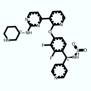 O=[SH](=O)N[C@@H](c1ccncc1)c1ccc(Oc2ncccc2-c2ccnc(N[C@H]3CCCNC3)n2)c(F)c1F